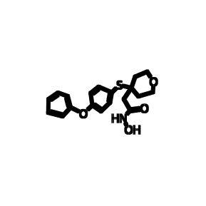 O=C(CC1(Sc2ccc(Oc3ccccc3)cc2)CCOCC1)NO